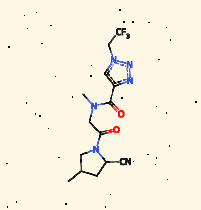 CC1CC(C#N)N(C(=O)CN(C)C(=O)c2cn(CC(F)(F)F)nn2)C1